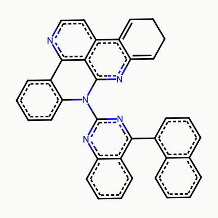 C1=c2nc3c4c(nccc4c2=CCC1)-c1ccccc1N3c1nc(-c2cccc3ccccc23)c2ccccc2n1